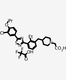 CCc1c(CC2CCN(CC(=O)O)CC2)cccc1-c1nsc(-c2ccc(OC(C)C)c(Cl)c2)n1.O=C(O)C(F)(F)F